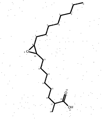 CCCCCCCCC1OC1CCCCCCC(C)C(=O)O